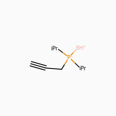 [BH+][P-](CC#C)(C(C)C)C(C)C